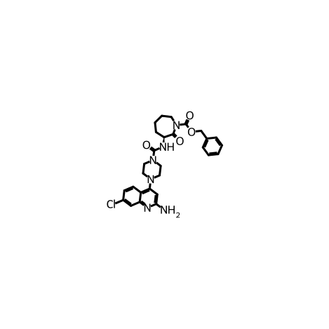 Nc1cc(N2CCN(C(=O)N[C@H]3CCCCN(C(=O)OCc4ccccc4)C3=O)CC2)c2ccc(Cl)cc2n1